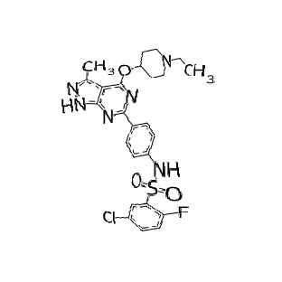 CCN1CCC(Oc2nc(-c3ccc(NS(=O)(=O)c4cc(Cl)ccc4F)cc3)nc3[nH]nc(C)c23)CC1